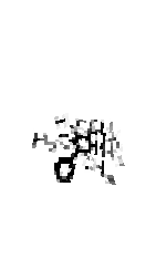 Cc1cc(C(C)(C)C)c(P)c(C)c1-c1ccccc1